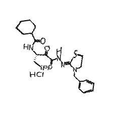 CC(C)C[C@H](NC(=O)C1CCCCC1)C(=O)C(=O)NN=C1SCCN1Cc1ccccc1.Cl